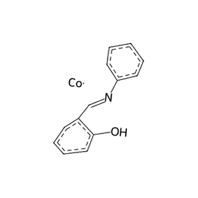 Oc1ccccc1C=Nc1ccccc1.[Co]